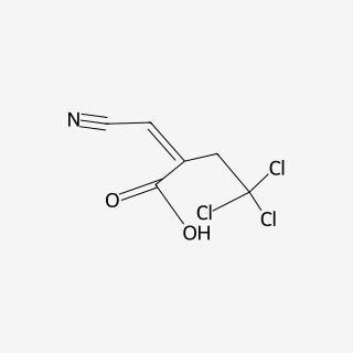 N#CC=C(CC(Cl)(Cl)Cl)C(=O)O